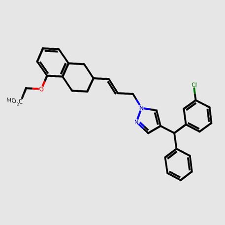 O=C(O)COc1cccc2c1CCC(/C=C/Cn1cc(C(c3ccccc3)c3cccc(Cl)c3)cn1)C2